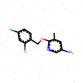 Cc1cc(N)cnc1OCc1ccc(F)cc1Cl